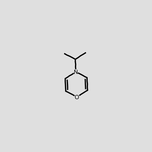 CC(C)N1C=COC=C1